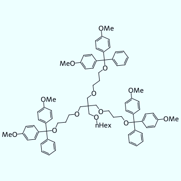 [CH2]CCCCCOCC(COCCCOC(c1ccccc1)(c1ccc(OC)cc1)c1ccc(OC)cc1)(COCCCOC(c1ccccc1)(c1ccc(OC)cc1)c1ccc(OC)cc1)COCCCOC(c1ccccc1)(c1ccc(OC)cc1)c1ccc(OC)cc1